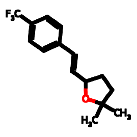 CC1(C)CCC(/C=C/c2ccc(C(F)(F)F)cc2)O1